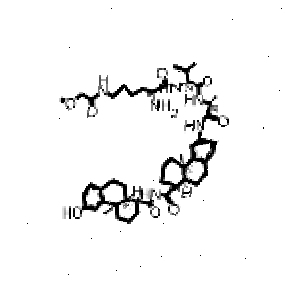 COCC(=O)NCCCC[C@@H](N)C(=O)N[C@H](C(=O)N[C@@H](C)C(=O)Nc1ccc2c(c1)[C@@]1(C)CCC[C@](C)(C(=O)NC(=O)[C@@]3(C)CCC[C@]4(C)c5cc(O)ccc5CC[C@@H]34)[C@@H]1CC2)C(C)C